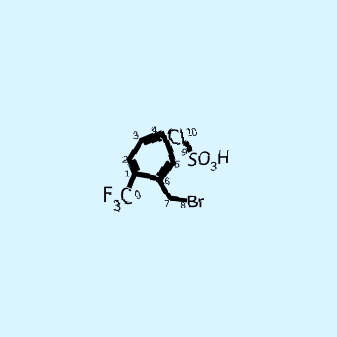 FC(F)(F)c1ccccc1CBr.O=S(=O)(O)Cl